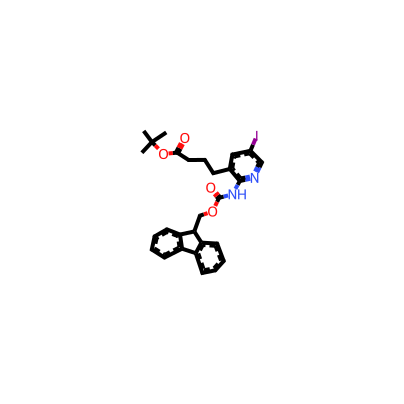 CC(C)(C)OC(=O)CCCc1cc(I)cnc1NC(=O)OCC1c2ccccc2-c2ccccc21